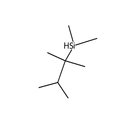 CC(C)C(C)(C)[SiH](C)C